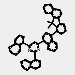 CC1(C)c2c(cccc2-c2ccc(-c3cc(-c4cccc5ccccc45)nc(-c4cccc5ccccc45)n3)c3ccccc23)-c2ccc3ccccc3c21